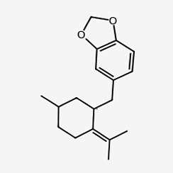 CC(C)=C1CCC(C)C[C]1Cc1ccc2c(c1)OCO2